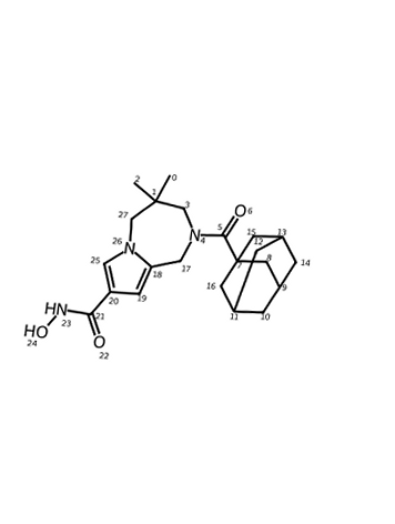 CC1(C)CN(C(=O)C23CC4CC(CC(C4)C2)C3)Cc2cc(C(=O)NO)cn2C1